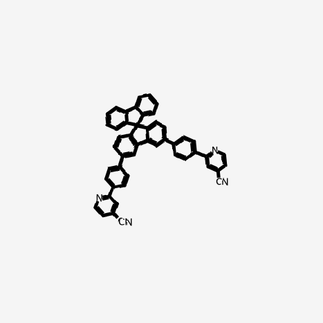 N#Cc1ccnc(-c2ccc(-c3ccc4c(c3)-c3cc(-c5ccc(-c6cc(C#N)ccn6)cc5)ccc3C43c4ccccc4-c4ccccc43)cc2)c1